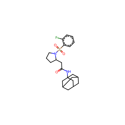 O=C(CC1CCCN1S(=O)(=O)c1ccccc1F)NC12CC3CC(CC(C3)C1)C2